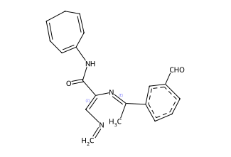 C=N/C=C(\N=C(/C)c1cccc(C=O)c1)C(=O)NC1=CC=CCC=C1